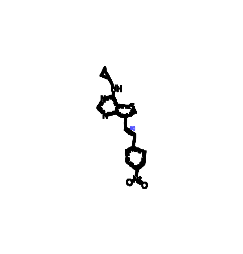 O=[N+]([O-])c1ccc(/C=C/c2csc3c(NC4CC4)ncnc23)cc1